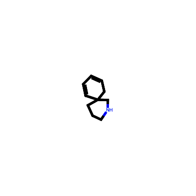 C1=CCC2(C=C1)CCCNC2